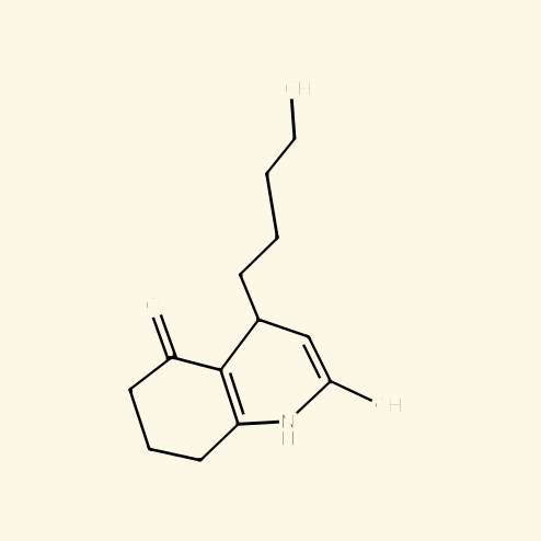 CCCCCC1C=C(C)NC2=C1C(=O)CCC2